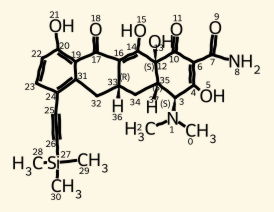 CN(C)[C@@H]1C(O)=C(C(N)=O)C(=O)[C@@]2(O)C(O)=C3C(=O)c4c(O)ccc(C#C[Si](C)(C)C)c4C[C@H]3C[C@@H]12